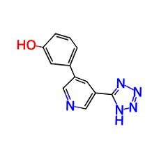 Oc1cccc(-c2cncc(-c3nnn[nH]3)c2)c1